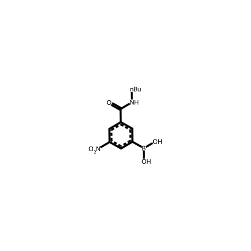 CCCCNC(=O)c1cc(B(O)O)cc([N+](=O)[O-])c1